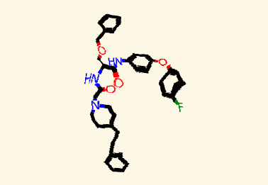 O=C(CN1CCC(CCc2ccccc2)CC1)N[C@@H](COCc1ccccc1)C(=O)Nc1ccc(Oc2ccc(F)cc2)cc1